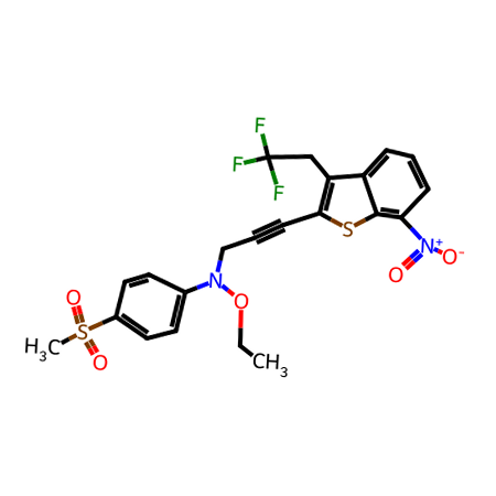 CCON(CC#Cc1sc2c([N+](=O)[O-])cccc2c1CC(F)(F)F)c1ccc(S(C)(=O)=O)cc1